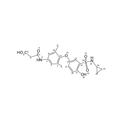 Cc1cc(NC(=O)CC(=O)O)cc(C)c1Oc1ccc(O)c(S(=O)(=O)NC2CC2)c1